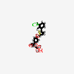 Cc1c(Cl)cccc1-c1ccc(COc2ccc(C3(OCC(=O)O)COC3)cc2)s1